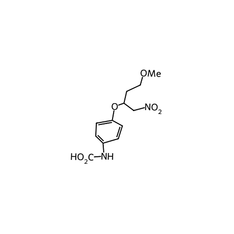 COCCC(C[N+](=O)[O-])Oc1ccc(NC(=O)O)cc1